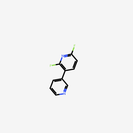 Fc1ccc(-c2cccnc2)c(F)n1